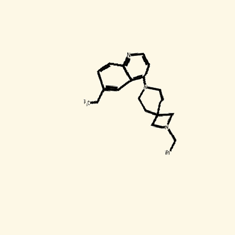 CC(C)CN1CC2(CCN(c3ccnc4ccc(CC(F)(F)F)cc34)CC2)C1